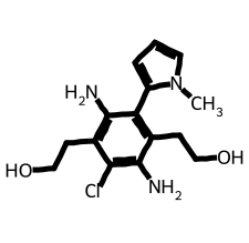 Cn1cccc1-c1c(N)c(CCO)c(Cl)c(N)c1CCO